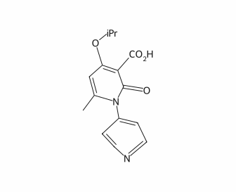 Cc1cc(OC(C)C)c(C(=O)O)c(=O)n1-c1ccncc1